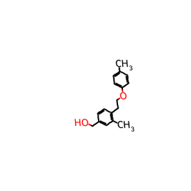 Cc1ccc(OCCc2ccc(CO)cc2C)cc1